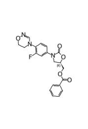 O=C(OC[C@H]1CN(c2ccc(N3C=NOCC3)c(F)c2)C(=O)O1)c1ccccc1